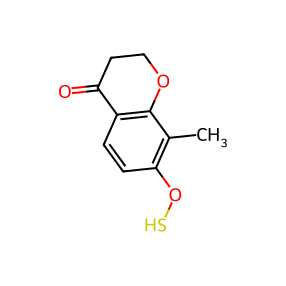 Cc1c(OS)ccc2c1OCCC2=O